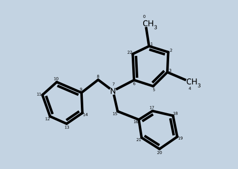 Cc1cc(C)cc(N(Cc2ccccc2)Cc2ccccc2)c1